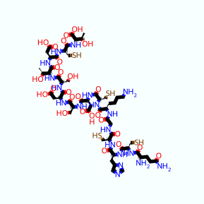 C[C@@H](O)[C@H](NC(=O)[C@H](CS)NC(=O)[C@H](CC(=O)O)NC(=O)[C@@H](NC(=O)[C@H](CO)NC(=O)[C@H](CC(=O)O)NC(=O)[C@H](CO)NC(=O)[C@H](CC(=O)O)NC(=O)[C@H](CS)NC(=O)[C@H](CCCCN)NC(=O)CNC(=O)[C@H](CS)NC(=O)[C@H](CC1C=NC=N1)NC(=O)[C@H](CS)NC(=O)[C@@H](N)CCC(N)=O)[C@@H](C)O)C(=O)O